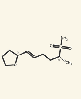 C[C@H](CCC=C[C@@H]1CCCO1)S(N)(=O)=O